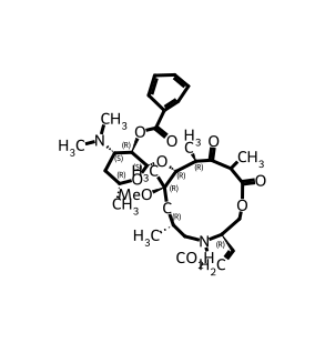 C=C[C@@H]1COC(=O)C(C)C(=O)[C@H](C)[C@@H](O[C@@H]2O[C@H](C)C[C@H](N(C)C)[C@H]2OC(=O)c2ccccc2)[C@](C)(OC)C[C@@H](C)CN1C(=O)O